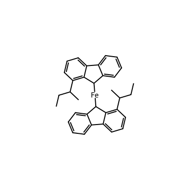 CCC(C)c1cccc2c1[CH]([Fe][CH]1c3ccccc3-c3cccc(C(C)CC)c31)c1ccccc1-2